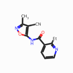 CCc1ncccc1C(=O)Nc1onc(C)c1C#N